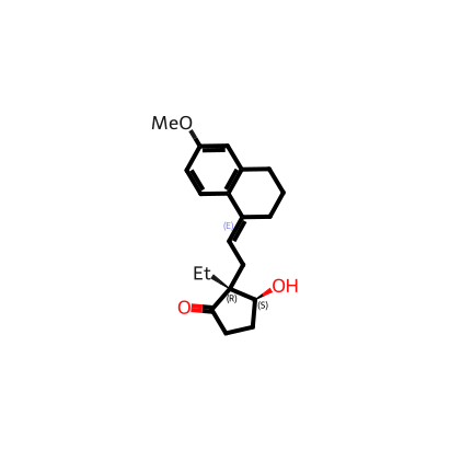 CC[C@]1(C/C=C2\CCCc3cc(OC)ccc32)C(=O)CC[C@@H]1O